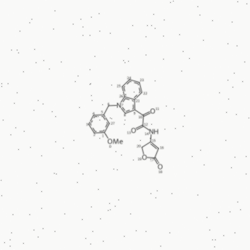 COc1cccc(Cn2cc(C(=O)C(=O)NC3=CC(=O)OC3)c3ccccc32)c1